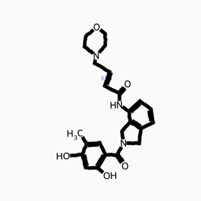 Cc1cc(C(=O)N2Cc3cccc(NC(=O)/C=C/CN4CCOCC4)c3C2)c(O)cc1O